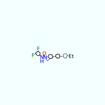 CCC1CCC(c2ccc(-c3ccc4c(c3)CCN4C(=O)Nc3cc(F)cc(F)c3)cc2)CC1